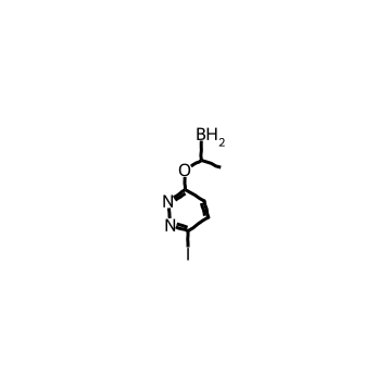 BC(C)Oc1ccc(I)nn1